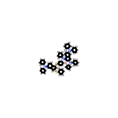 c1ccc(N(c2ccccc2)c2ccc3c4c5c(cc3c2)Sc2ccccc2B5c2cc3c(cc2S4)N(c2ccccc2)c2c4c(cc5cc(N(c6ccccc6)c6ccccc6)ccc25)N(c2ccccc2)c2ccccc2B34)cc1